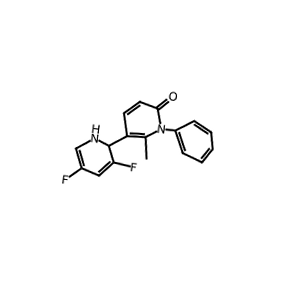 Cc1c(C2NC=C(F)C=C2F)ccc(=O)n1-c1ccccc1